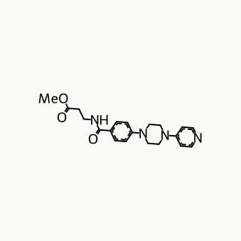 COC(=O)CCNC(=O)c1ccc(N2CCN(c3ccncc3)CC2)cc1